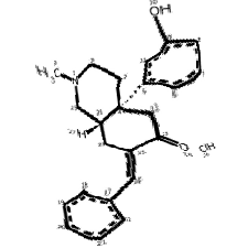 CN1CC[C@@]2(c3cccc(O)c3)CC(=O)/C(=C/c3ccccc3)C[C@@H]2C1.Cl